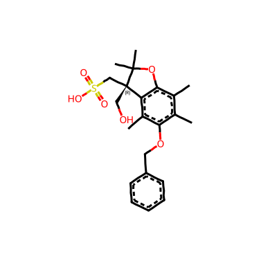 Cc1c(C)c2c(c(C)c1OCc1ccccc1)[C@](CO)(CS(=O)(=O)O)C(C)(C)O2